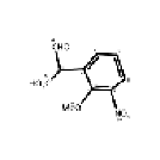 COc1c(C(C=O)C(=O)O)cccc1[N+](=O)[O-]